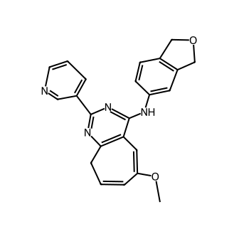 COC1=Cc2c(nc(-c3cccnc3)nc2Nc2ccc3c(c2)COC3)CC=C1